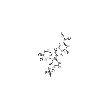 COC(=O)c1ccc(CN(C(=O)N2CCS(=O)(=O)CC2)c2ccc(OC(F)(F)F)cc2)c(F)c1